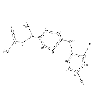 CC(CC(=O)O)c1ccc(Oc2ccc(Cl)cc2F)cc1